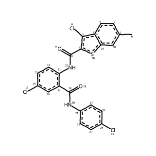 Cc1ccc2c(Cl)c(C(=O)Nc3ccc(Cl)cc3C(=O)Nc3ccc(Cl)cc3)sc2c1